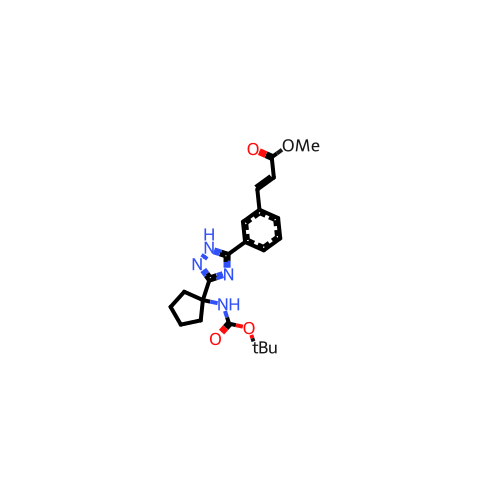 COC(=O)/C=C/c1cccc(-c2nc(C3(NC(=O)OC(C)(C)C)CCCC3)n[nH]2)c1